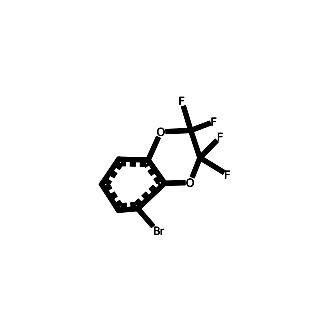 FC1(F)Oc2cccc(Br)c2OC1(F)F